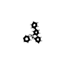 c1ccc(OB(Oc2ccccc2)c2cccc(-c3ccccc3)c2)cc1